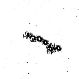 O=C1NC(=O)C(CC(=O)N2CCCN(c3ccc(NC(=O)c4nc(-c5ccccc5)oc4C(F)(F)F)cc3)CC2)S1